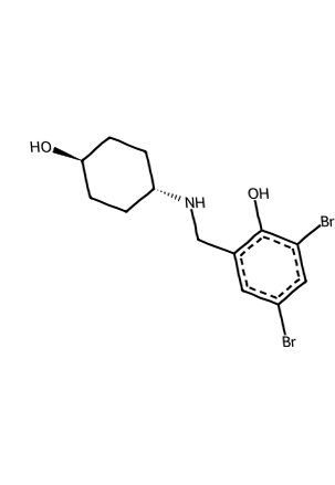 Oc1c(Br)cc(Br)cc1CN[C@H]1CC[C@H](O)CC1